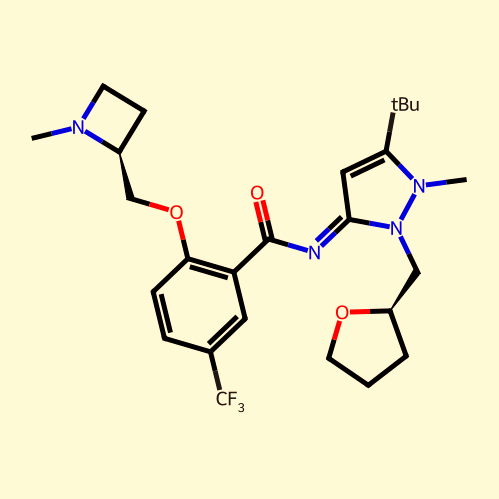 CN1CC[C@H]1COc1ccc(C(F)(F)F)cc1C(=O)N=c1cc(C(C)(C)C)n(C)n1C[C@H]1CCCO1